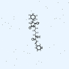 O=C(C=Cc1cccnc1)NCCCCN1C(=O)C=C(c2ccccc2)C1=O